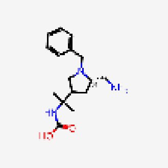 CC(C)(NC(=O)O)C1C[C@@H](CN)N(Cc2ccccc2)C1